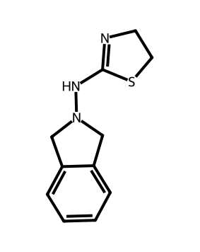 c1ccc2c(c1)CN(NC1=NCCS1)C2